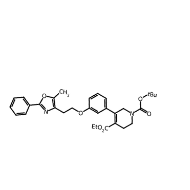 CCOC(=O)C1=C(c2cccc(OCCc3nc(-c4ccccc4)oc3C)c2)CN(C(=O)OC(C)(C)C)CC1